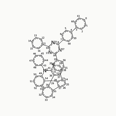 c1ccc(-c2ccc(-c3nc(-c4ccccc4)nc(-c4ccc(-c5cccc6c5C5(c7ccccc7-6)c6ccccc6N(c6ccccc6)c6ccccc65)cc4)n3)cc2)cc1